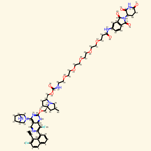 C#Cc1c(F)ccc2cccc(-c3ncc4c(N5CC6CCC(C5)N6)nc(OC[C@@]56CC[C@@H](COC(=O)NCCOCCOCCOCCOCCOCCC(=O)Nc7ccc8c(c7)C(=O)N(C7CCC(=O)NC7=O)C8=O)N5CC(C)C6)nc4c3F)c12